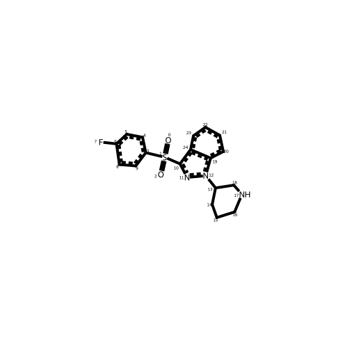 O=S(=O)(c1ccc(F)cc1)c1nn(C2CCCNC2)c2ccccc12